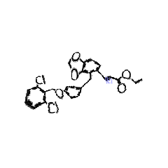 CCOC(=O)/C=C/c1ccc2c(c1Cc1ccc(OCc3c(Cl)cccc3Cl)cc1)OCO2